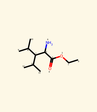 CCOC(=O)C(N)C(C(C)C)C(C)C